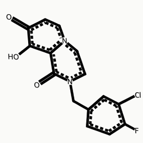 O=c1ccn2ccn(Cc3ccc(F)c(Cl)c3)c(=O)c2c1O